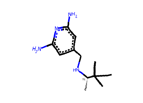 C[C@H](NCc1cc(N)nc(N)c1)C(C)(C)C